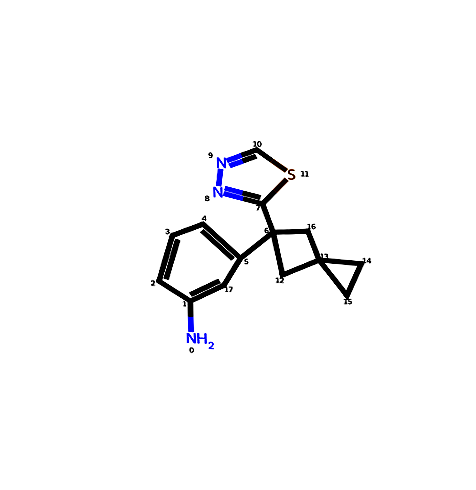 Nc1cccc(C2(c3nncs3)CC3(CC3)C2)c1